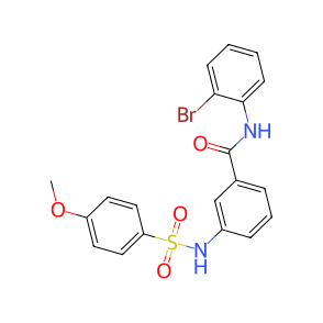 COc1ccc(S(=O)(=O)Nc2cccc(C(=O)Nc3ccccc3Br)c2)cc1